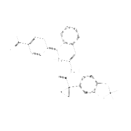 O=C(O)C1=CCC(=C2NC(NC(=O)C3(c4ccc5c(c4)OC(F)(F)O5)CC3)=Cc3ccccc32)C=C1